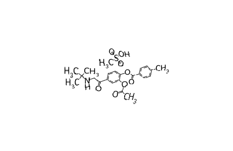 CC(=O)Oc1cc(C(=O)CNC(C)(C)C)ccc1OC(=O)c1ccc(C)cc1.CS(=O)(=O)O